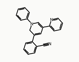 N#Cc1ccccc1C1=CC(c2ccccn2)=CN(c2ccccc2)C1